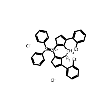 CCc1ccccc1C1=CC[C]([Zr+2]([C]2=C(C)C(c3ccccc3CC)=CC2)=[Si](c2ccccc2)c2ccccc2)=C1C.[Cl-].[Cl-]